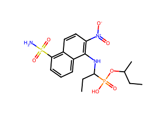 CCC(C)OP(=O)(O)C(CC)Nc1c([N+](=O)[O-])ccc2c(S(N)(=O)=O)cccc12